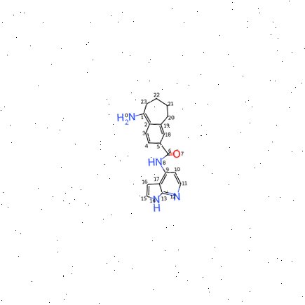 NC1=C2C=CC(C(=O)Nc3ccnc4[nH]ccc34)C=C2CCCC1